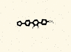 Cc1ccc(-c2ccc(-c3ccc(C4CCCC4)cc3)c(F)c2F)cc1